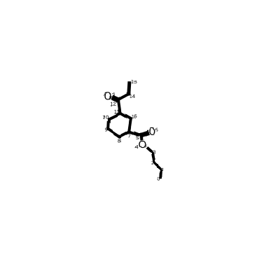 CCCCOC(=O)C1CCCC(C(=O)CC)C1